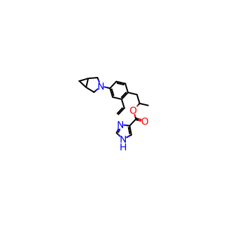 C=Cc1cc(N2CC3CC3C2)ccc1CC(C)OC(=O)c1c[nH]cn1